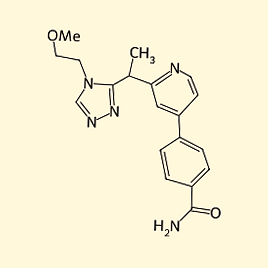 COCCn1cnnc1C(C)c1cc(-c2ccc(C(N)=O)cc2)ccn1